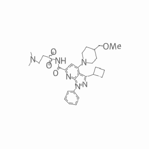 COCC1CCN(c2cc(C(=O)NS(=O)(=O)CCN(C)C)nc3c2c(C2CCC2)nn3-c2ccccc2)CC1